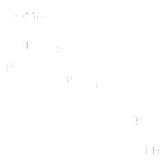 COP(#P)P=PP=PP=P